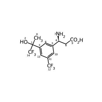 CC(O)(c1cc([C@@H](N)CC(=O)O)cc(C(F)(F)F)c1)C(F)(F)F